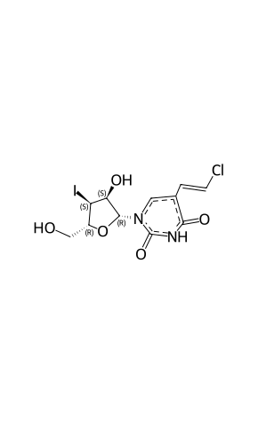 O=c1[nH]c(=O)n([C@@H]2O[C@H](CO)[C@@H](I)[C@H]2O)cc1C=CCl